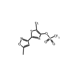 CCc1sc(-c2cc(C)on2)nc1OS(=O)(=O)C(F)(F)F